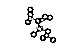 c1ccc(-c2nc(-c3cccc4c3-c3ccccc3C4c3ccccc3)nc(-c3cc(-n4c5ccccc5c5cc6ccccc6cc54)cc4c3oc3c5ccccc5ccc43)n2)cc1